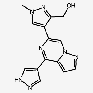 Cn1cc(-c2cn3nccc3c(-c3cn[nH]c3)n2)c(CO)n1